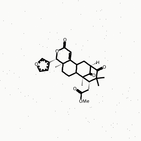 COC(=O)C[C@H]1C(C)(C)C(=O)[C@@H]2CC3C4=CC(=O)O[C@@H](c5ccoc5)[C@]4(C)CCC3[C@@]1(C)C2=O